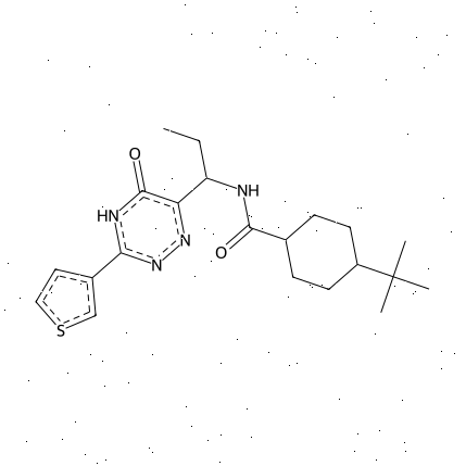 CCC(NC(=O)C1CCC(C(C)(C)C)CC1)c1nnc(-c2ccsc2)[nH]c1=O